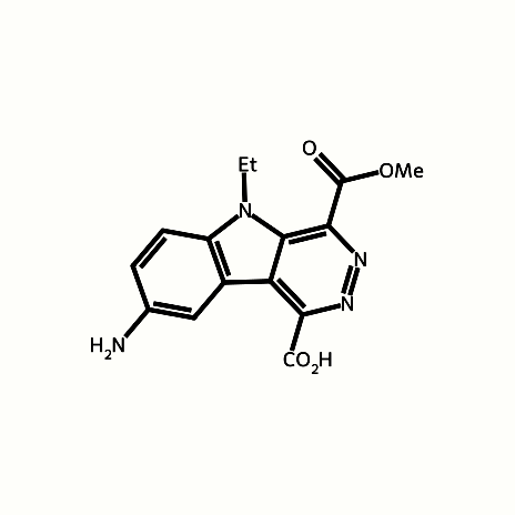 CCn1c2ccc(N)cc2c2c(C(=O)O)nnc(C(=O)OC)c21